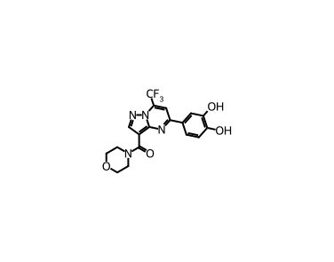 O=C(c1cnn2c(C(F)(F)F)cc(-c3ccc(O)c(O)c3)nc12)N1CCOCC1